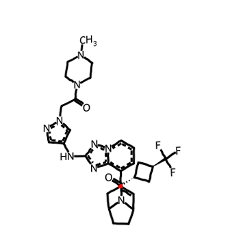 CN1CCN(C(=O)Cn2cc(Nc3nc4c(C5=CC6CCC(C5)N6C(=O)[C@H]5C[C@H](C(F)(F)F)C5)cccn4n3)cn2)CC1